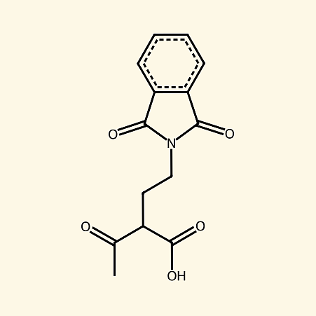 CC(=O)C(CCN1C(=O)c2ccccc2C1=O)C(=O)O